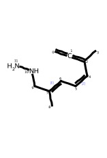 C=C=C(C)/C=C\C=C(/C)CNN